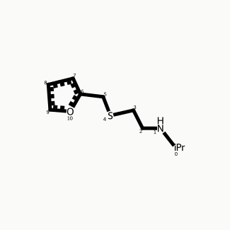 CC(C)NCCSCc1ccco1